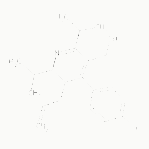 C=CCc1c(C(C)C)nc(C(C)C)c(CO)c1-c1ccc(F)cc1